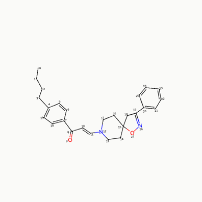 CCCCc1ccc(C(=O)C=CN2CCC3(CC2)CC(c2ccccc2)=NO3)cc1